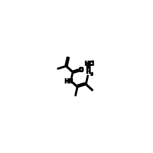 C=C(C)C(=O)NC(C)=C(C)C.Cl.N